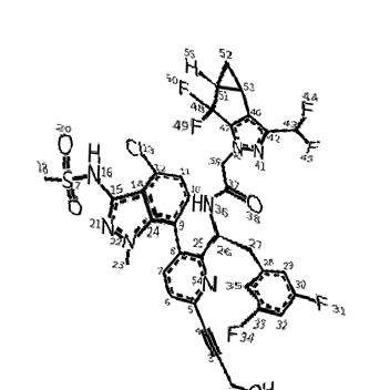 C[C@@H](O)C#Cc1ccc(-c2ccc(Cl)c3c(NS(C)(=O)=O)nn(C)c23)c([C@H](Cc2cc(F)cc(F)c2)NC(=O)Cn2nc(C(F)F)c3c2C(F)(F)[C@@H]2CC32)n1